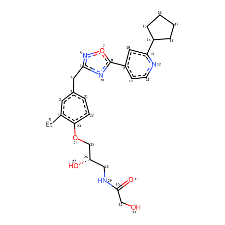 CCc1cc(Cc2noc(-c3ccnc(C4CCCC4)c3)n2)ccc1OC[C@@H](O)CNC(=O)CO